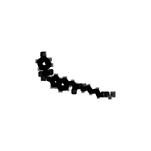 O=C(O)CCCCCNC(=O)Cc1ccc2c(c1)CC(NS(=O)(=O)c1ccc(Cl)cc1)C2